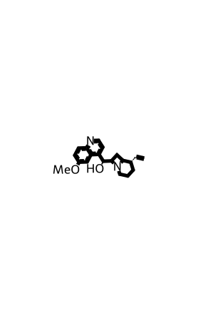 C=C[C@@H]1CCCN2C1CC2[C@H](O)c1ccnc2ccc(OC)cc12